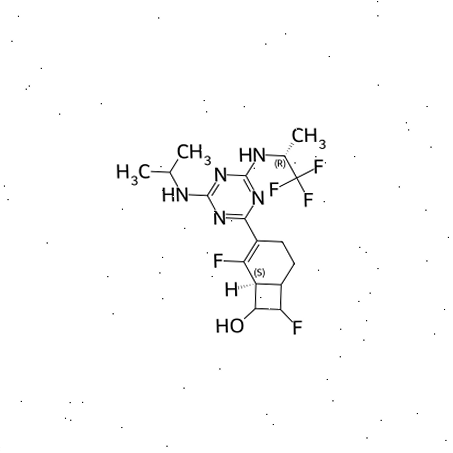 CC(C)Nc1nc(N[C@H](C)C(F)(F)F)nc(C2=C(F)[C@@H]3C(O)C(F)C3CC2)n1